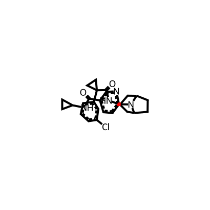 O=C(NC1CC1)c1ccc(N2C3CCC2CC(NC(=O)C2(c4cccc(Cl)c4)CC2)C3)nc1